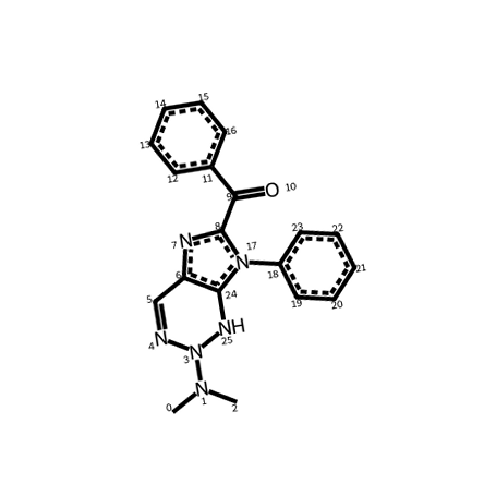 CN(C)N1N=Cc2nc(C(=O)c3ccccc3)n(-c3ccccc3)c2N1